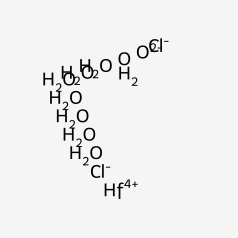 O.O.O.O.O.O.O.O.[Cl-].[Cl-].[Hf+4].[O-2]